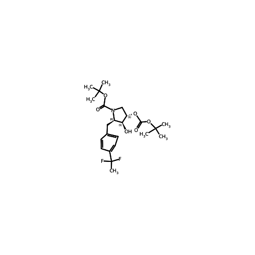 CC(C)(C)OC(=O)O[C@H]1CN(C(=O)OC(C)(C)C)[C@H](Cc2ccc(C(C)(F)F)cc2)[C@@H]1O